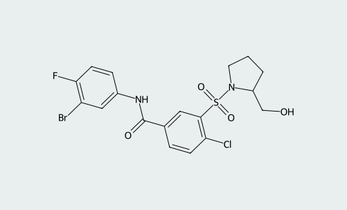 O=C(Nc1ccc(F)c(Br)c1)c1ccc(Cl)c(S(=O)(=O)N2CCCC2CO)c1